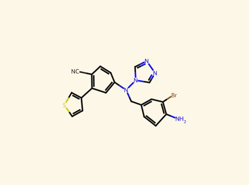 N#Cc1ccc(N(Cc2ccc(N)c(Br)c2)n2cnnc2)cc1-c1ccsc1